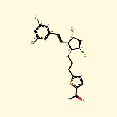 CC(=O)c1ccc(CCC[C@@H]2[C@@H](/C=C/c3cc(Cl)cc(Cl)c3)[C@H](O)C[C@H]2Cl)s1